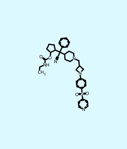 CCNC(=O)OC1CCCC1C(C#N)(c1ccccc1)C1CCN(CC2CN(c3ccc(S(=O)(=O)c4ccncc4)cc3)C2)CC1